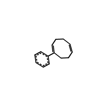 C1=C\CC/C(c2ccccc2)=C\CC/1